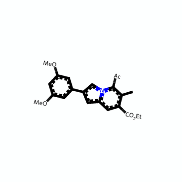 CCOC(=O)c1cc2cc(-c3cc(OC)cc(OC)c3)cn2c(C(C)=O)c1C